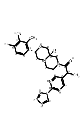 Cc1c([C@H]2CN3CCN(C(=O)C(C)c4cnc(-n5cnnn5)nc4)C[C@H]3CO2)ccc(F)c1C#N